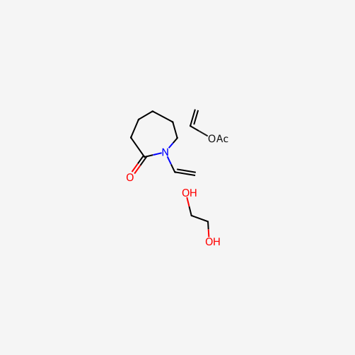 C=CN1CCCCCC1=O.C=COC(C)=O.OCCO